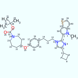 Cn1c(-c2nc(C3CCC3)cn2CCCc2ccc(OC3CCCN(C(=O)OC(C)(C)C)CC3)cc2)cc2sccc21